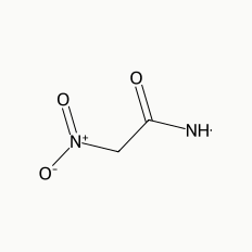 [NH]C(=O)C[N+](=O)[O-]